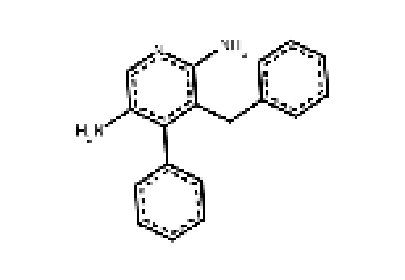 Nc1cnc(N)c(Cc2ccccc2)c1-c1ccccc1